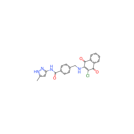 Cc1cc(NC(=O)c2ccc(CNC3=C(Cl)C(=O)c4ccccc4C3=O)cc2)n[nH]1